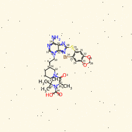 C[C@H](C(=O)N1CCC[C@@H](CCn2cnc(N)c3nc(Sc4cc5c(cc4Br)OCO5)nc2-3)C1)N(C(=O)O)C(C)(C)C